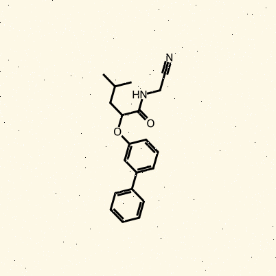 CC(C)CC(Oc1cccc(-c2ccccc2)c1)C(=O)NCC#N